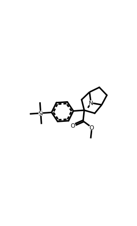 COC(=O)C1(c2ccc([Si](C)(C)C)cc2)CC2CCC(C1)N2C